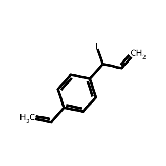 C=Cc1ccc(C(I)C=C)cc1